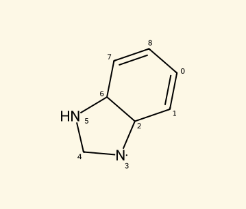 C1=CC2[N]CNC2C=C1